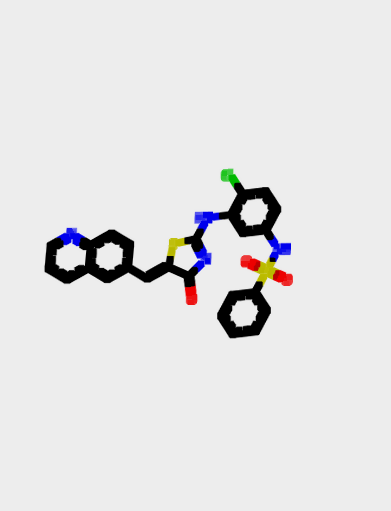 O=C1N=C(Nc2cc(NS(=O)(=O)c3ccccc3)ccc2Cl)S/C1=C\c1ccc2ncccc2c1